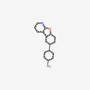 Cc1ccc(-c2ccc3oc4ncccc4c3c2)cc1